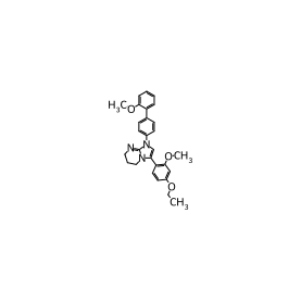 CCOc1ccc(C2=CN(c3ccc(-c4ccccc4OC)cc3)C3=NCCCN23)c(OC)c1